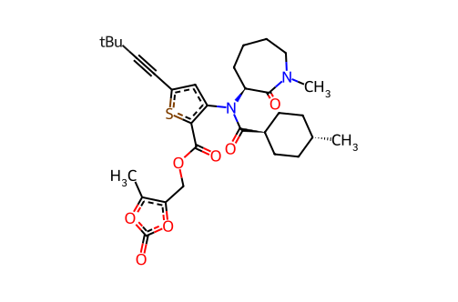 Cc1oc(=O)oc1COC(=O)c1sc(C#CC(C)(C)C)cc1N(C(=O)[C@H]1CC[C@H](C)CC1)[C@H]1CCCCN(C)C1=O